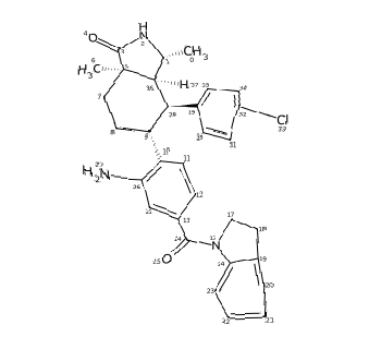 C[C@H]1NC(=O)[C@]2(C)CC[C@@H](c3ccc(C(=O)N4CCc5ccccc54)cc3N)[C@H](c3ccc(Cl)cc3)[C@H]12